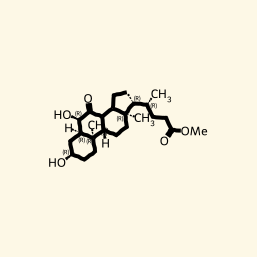 COC(=O)CC[C@@H](C)[C@H]1CCC2C3C(=O)[C@H](O)[C@@H]4C[C@H](O)CC[C@]4(C)[C@H]3CC[C@@]21C